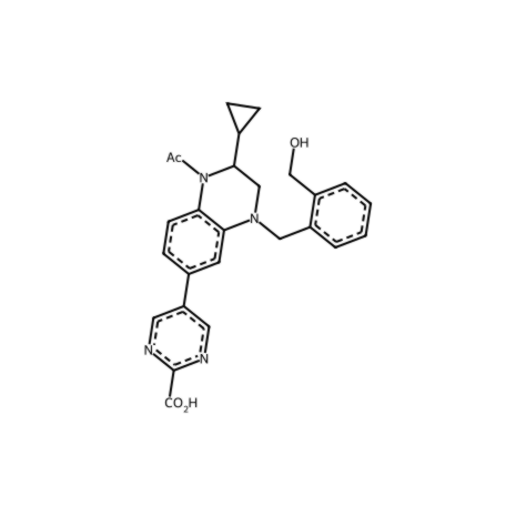 CC(=O)N1c2ccc(-c3cnc(C(=O)O)nc3)cc2N(Cc2ccccc2CO)CC1C1CC1